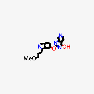 COCCCC1N=Cc2ccc(Oc3nc(O)c4ccncc4n3)cc21